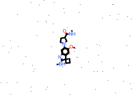 CNC(=O)C1CCN(c2cc3c(cc2OC)C2(CCC2)C(NC)=N3)C1